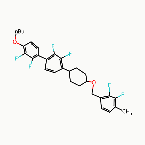 CCCCOc1ccc(-c2ccc(C3CCC(OCc4ccc(C)c(F)c4F)CC3)c(F)c2F)c(F)c1F